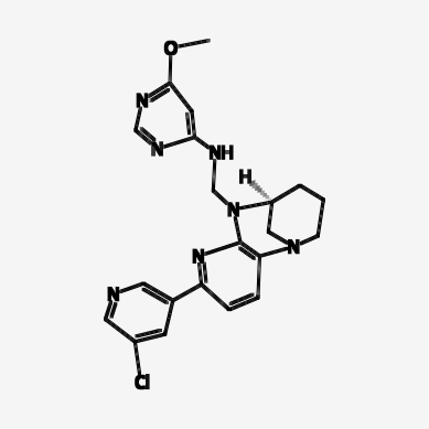 COc1cc(NCN2c3nc(-c4cncc(Cl)c4)ccc3N3CCC[C@H]2C3)ncn1